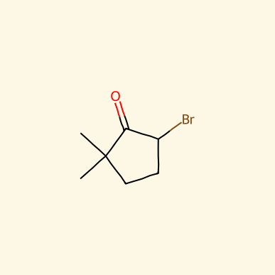 CC1(C)CCC(Br)C1=O